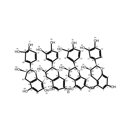 Oc1cc(O)c2c(c1)O[C@H](c1ccc(O)c(O)c1)[C@H](O)[C@H]2c1c(O)cc(O)c2c1O[C@H](c1ccc(O)c(O)c1)[C@H](O)[C@H]2c1c(O)cc(O)c2c1O[C@H](c1ccc(O)c(O)c1)[C@H](O)[C@H]2c1c(O)cc(O)c2c1O[C@H](c1ccc(O)c(O)c1)[C@H](O)C2